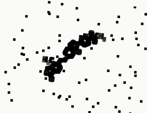 Cc1c(CCN2CCC3(CC2)CCN(c2ccc(S(C)(=O)=O)nn2)C3=O)ccc2c1COC2=O